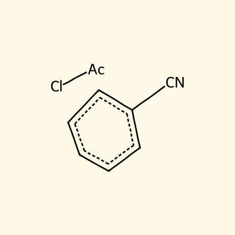 CC(=O)Cl.N#Cc1ccccc1